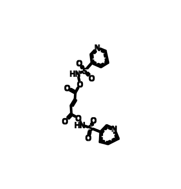 O=C(/C=C/C(=O)ONS(=O)(=O)c1cccnc1)ONS(=O)(=O)c1cccnc1